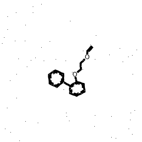 C=COC[CH]Oc1ccccc1-c1ccccc1